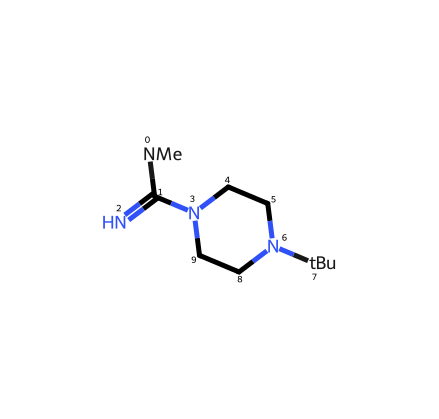 CNC(=N)N1CCN(C(C)(C)C)CC1